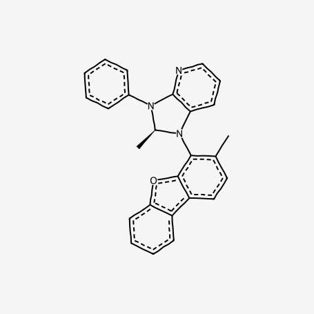 Cc1ccc2c(oc3ccccc32)c1N1c2cccnc2N(c2ccccc2)[C@@H]1C